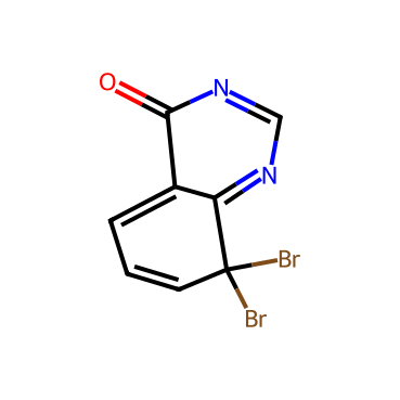 O=C1N=CN=C2C1=CC=CC2(Br)Br